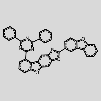 c1ccc(-c2nc(-c3ccccc3)nc(-c3cccc4oc5cc6oc(-c7ccc8oc9ccccc9c8c7)nc6cc5c34)n2)cc1